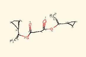 C=C(OC(=O)CC(=O)OC(=C)C1CC1)C1CC1